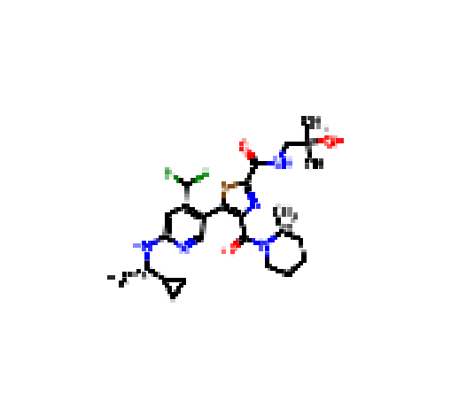 C[C@H](Nc1cc(C(F)F)c(-c2sc(C(=O)NCC(C)(C)O)nc2C(=O)N2CCCC[C@@H]2C)cn1)C1CC1